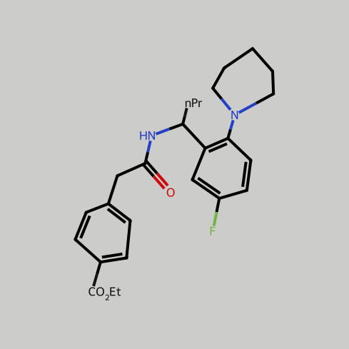 CCCC(NC(=O)Cc1ccc(C(=O)OCC)cc1)c1cc(F)ccc1N1CCCCC1